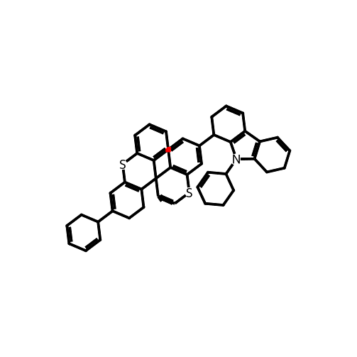 C1=CCC(C2=CC3=C(CC2)C2(C4=CC=CCC4Sc4cc(C5CC=Cc6c7c(n(C8C=CCCC8)c65)CCC=C7)ccc42)c2ccccc2S3)C=C1